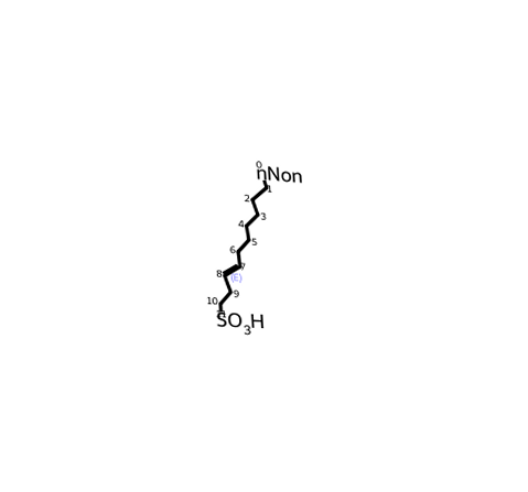 CCCCCCCCCCCCCCC/C=C/CCS(=O)(=O)O